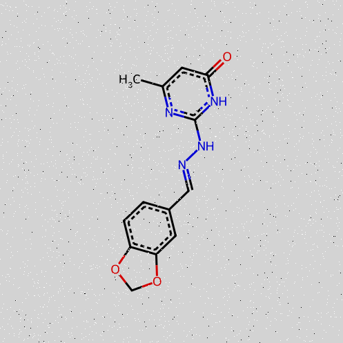 Cc1cc(=O)[nH]c(N/N=C/c2ccc3c(c2)OCO3)n1